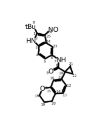 CC(C)(C)c1[nH]c2ccc(NC(=O)C3(c4ccc5c(c4)OCCC5)CC3)cc2c1N=O